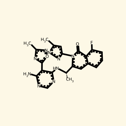 Cc1noc(-c2c(N)ncnc2N[C@@H](C)c2cc3cccc(F)c3c(=O)n2-c2cc(C)[nH]n2)n1